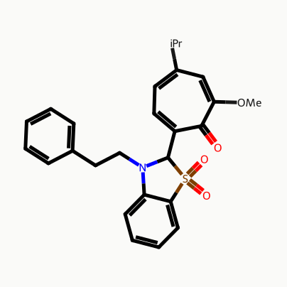 COc1cc(C(C)C)ccc(C2N(CCc3ccccc3)c3ccccc3S2(=O)=O)c1=O